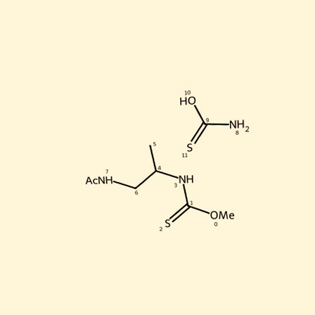 COC(=S)NC(C)CNC(C)=O.NC(O)=S